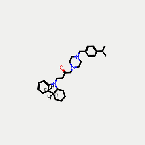 CC(C)c1ccc(CN2CCN(CC(=O)CCN3C4=CC=CC[C@H]4[C@H]4CCCCC43)CC2)cc1